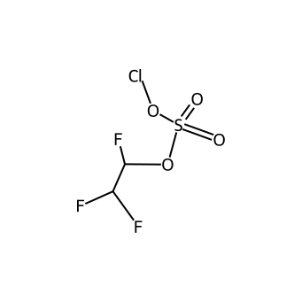 O=S(=O)(OCl)OC(F)C(F)F